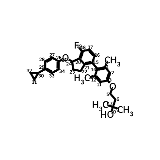 Cc1cc(OCCC(C)(C)O)cc(C)c1-c1ccc(F)c2c1CCC2Oc1ccc(C2CC2)cc1